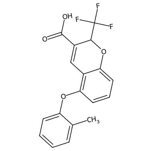 Cc1ccccc1Oc1cccc2c1C=C(C(=O)O)C(C(F)(F)F)O2